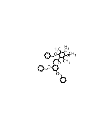 COc1c(C)c(C)c(OCc2ccccc2)c(C(=O)C=Cc2ccc(OCc3ccccc3)cc2OCc2ccccc2)c1C